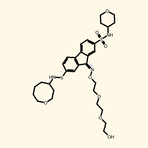 O=S(=O)(NC1CCOCC1)c1ccc2c(c1)/C(=N/OCCOCCOCCO)c1cc(SNC3CCCCOCC3)ccc1-2